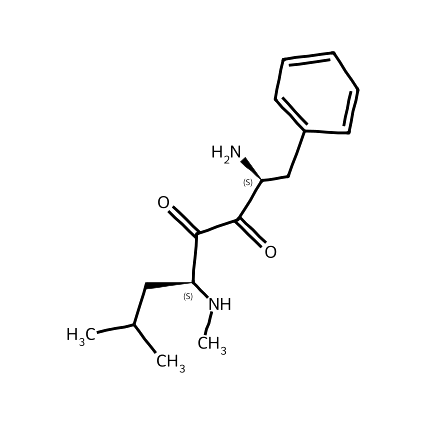 CN[C@@H](CC(C)C)C(=O)C(=O)[C@@H](N)Cc1ccccc1